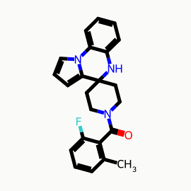 Cc1cccc(F)c1C(=O)N1CCC2(CC1)Nc1ccccc1-n1cccc12